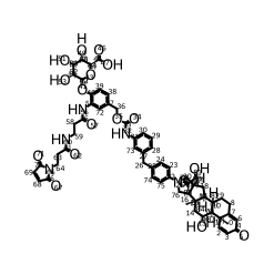 C[C@]12C=CC(=O)C=C1CC[C@@H]1[C@@H]2[C@@H](O)C[C@@]2(C)[C@H]1C[C@H]1CN(c3ccc(Cc4cccc(NC(=O)OCc5ccc(O[C@@H]6O[C@H](C(=O)O)[C@@H](O)[C@H](O)[C@H]6O)c(NC(=O)CCNC(=O)CCN6C(=O)C=CC6=O)c5)c4)cc3)C[C@]12C(=O)CO